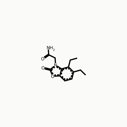 CCc1ccc2oc(=O)n(CC(N)=O)c2c1CC